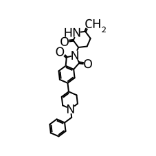 C=C1CCC(N2C(=O)c3ccc(C4=CCN(Cc5ccccc5)CC4)cc3C2=O)C(=O)N1